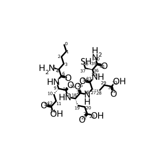 CCCC[C@H](N)C(=O)N[C@@H](CCC(=O)O)C(=O)N[C@@H](CCC(=O)O)C(=O)N[C@@H](CCC(=O)O)C(=O)N[C@@H](CS)C(N)=O